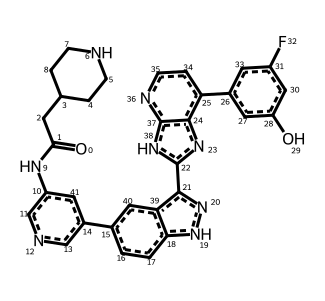 O=C(CC1CCNCC1)Nc1cncc(-c2ccc3[nH]nc(-c4nc5c(-c6cc(O)cc(F)c6)ccnc5[nH]4)c3c2)c1